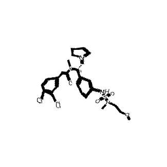 COCCN(C)S(=O)(=O)Nc1cccc([C@@H](CN2CCCC2)N(C)C(=O)Cc2ccc(Cl)c(Cl)c2)c1